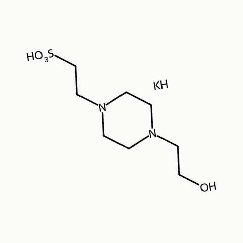 O=S(=O)(O)CCN1CCN(CCO)CC1.[KH]